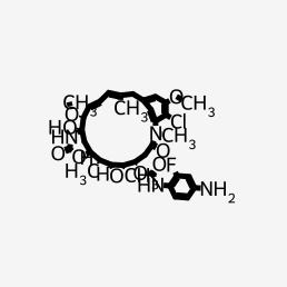 COc1cc2cc(c1Cl)N(C)C(=O)C[C@H](OC(=O)Nc1ccc(N)cc1F)[C@]1(C)O[C@H]1[C@H](C)[C@@H]1C[C@@](O)(NC(=O)O1)[C@H](OC)/C=C/C=C(\C)C2